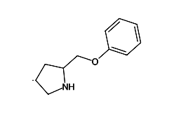 [CH]1CNC(COc2ccccc2)C1